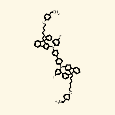 C=Cc1ccc(OCCCCCCC2(c3ccccc3)c3ccccc3-c3ccc(N(c4ccc(F)cc4)c4ccc(-c5ccc(N(c6ccc(F)cc6)c6ccc7c(c6)C(CCCCCCOc6ccc(C=C)cc6)(c6ccccc6)c6ccccc6-7)cc5)cc4)cc32)cc1